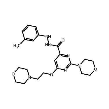 Cc1cccc(NNC(=O)c2cc(OCCN3CCOCC3)nc(N3CCOCC3)n2)c1